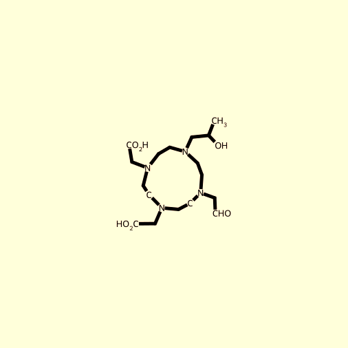 CC(O)CN1CCN(CC=O)CCN(CC(=O)O)CCN(CC(=O)O)CC1